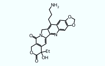 CCC1(O)C(=O)OCc2c1cc1n(c2=O)Cc2c-1nc1cc3c(cc1c2CCCN)OCO3